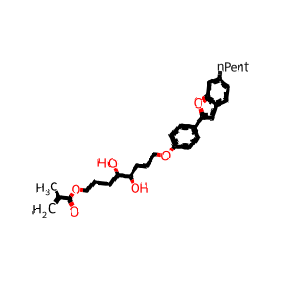 C=C(C)C(=O)OCCCC(O)C(O)CCCOc1ccc(-c2cc3ccc(CCCCC)cc3o2)cc1